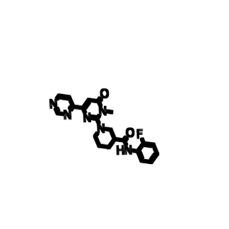 Cn1c(N2CCCC(C(=O)Nc3ccccc3F)C2)nc(-c2ccncn2)cc1=O